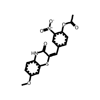 COc1ccc2c(c1)S/C(=C/c1ccc(OC(C)=O)c([N+](=O)[O-])c1)C(=O)N2